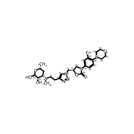 C[C@@H]1C[C@H](N(C)CCc2cn(C[C@H]3CN(c4ccc(N5CCOCC5)c(F)c4)C(=O)O3)nn2)[C@@H](O)C(O)O1